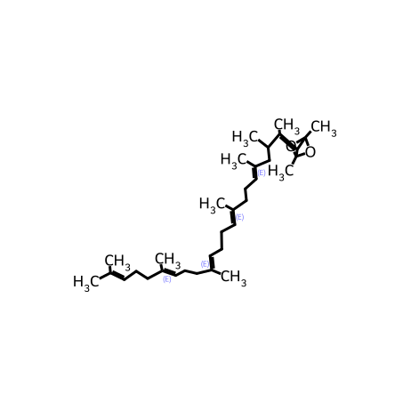 CC(C)=CCC/C(C)=C/CC/C(C)=C/CC/C=C(\C)CC/C=C(\C)CC(C)C(C)=C1C2(C)OC1(C)O2